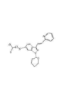 CCC(=O)OSc1ccc2c(C=Cc3ccccn3)nn(C3CCCCO3)c2c1